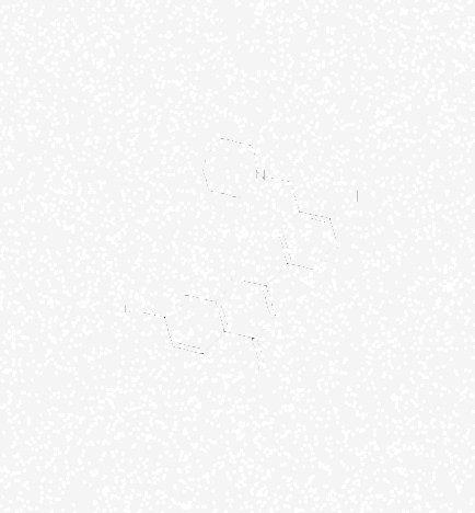 O=c1cc(-c2ccc(Cl)c(CN3CCOCC3)c2)oc2cc(O)ccc12